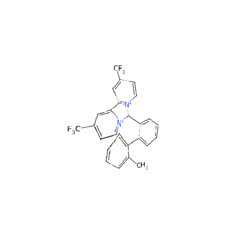 Cc1ccccc1-c1ccccc1C1[n+]2ccc(C(F)(F)F)cc2-c2cc(C(F)(F)F)cc[n+]21